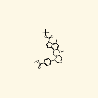 COC(=O)c1ccc([C@@H]2COCCN2Cc2c(OC)cc(C)c3c2ccn3C(=O)OC(C)(C)C)cc1